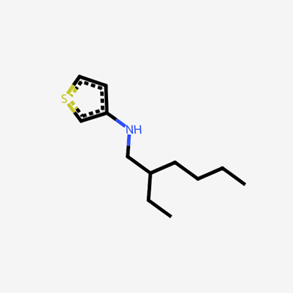 CCCCC(CC)CNc1ccsc1